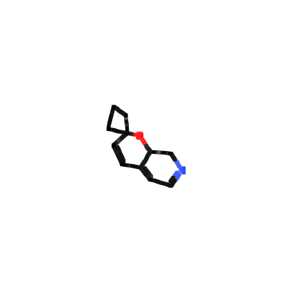 C1=CC2(CCC2)OC2CN=CC=C12